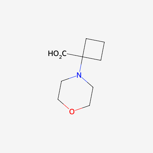 O=C(O)C1(N2CCOCC2)CCC1